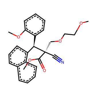 COCCOC[C@](C#N)(C(=O)OC)[C@H](c1ccccc1OC)c1cccc2ccccc12